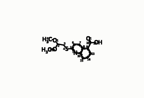 COC(CSc1ccc2c(C(=O)O)cccc2n1)OC